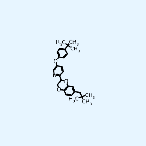 CC(C)(C)Cc1ccc2c(c1)OC(c1ccc(Oc3ccc(C(C)(C)C)cc3)cn1)CO2